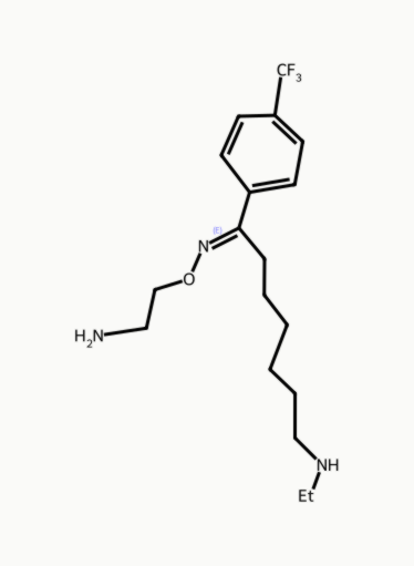 CCNCCCCCC/C(=N\OCCN)c1ccc(C(F)(F)F)cc1